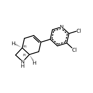 Clc1cc(C2=CC[C@@H]3CN[C@@H]3C2)cnc1Cl